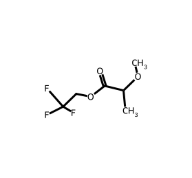 COC(C)C(=O)OCC(F)(F)F